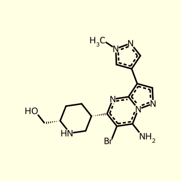 Cn1cc(-c2cnn3c(N)c(Br)c([C@H]4CC[C@@H](CO)NC4)nc23)cn1